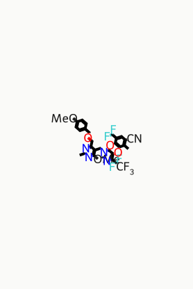 COc1ccc(COCc2nc(C)nc(OC)c2Cn2cnc(C(F)(F)C(F)(F)F)c(Oc3cc(C(F)F)cc(C#N)c3C)c2=O)cc1